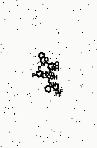 C[C@H](c1ccccc1)N(C)C(=O)c1cc(C(=O)N[C@@H](Cc2cc(F)cc(F)c2)[C@H](O)CNC2(c3cccc(C(F)(F)F)c3)CCCCC2)[nH]c(=O)c1